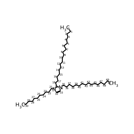 CCCCCCCCCCCCCCCCCCCC1N(CCCCCCCCCCC)C=CN1CCCCCCCCCCCCCCCC